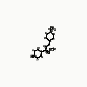 CN1CCC(COC(=O)C2CCNCC2)CC1.Cl